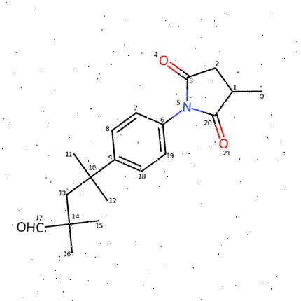 CC1CC(=O)N(c2ccc(C(C)(C)CC(C)(C)C=O)cc2)C1=O